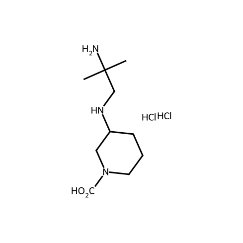 CC(C)(N)CNC1CCCN(C(=O)O)C1.Cl.Cl